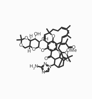 COC(=O)/C(C)=C\CC12OC(C)(C)C3CC(C1=O)C(n1cnc(N)n1)C1C(=O)c4c(O[C@@H]5O[C@@H]6COC(C)(C)O[C@H]6[C@H](O)[C@H]5O)c5c(c(CC=C(C)C)c4OC132)OC(C)(CCC=C(C)C)C=C5